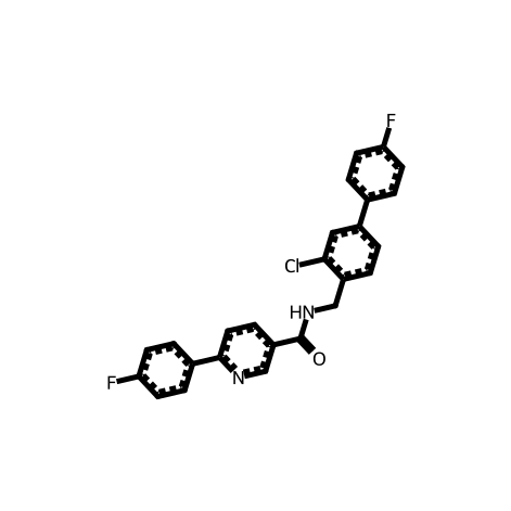 O=C(NCc1ccc(-c2ccc(F)cc2)cc1Cl)c1ccc(-c2ccc(F)cc2)nc1